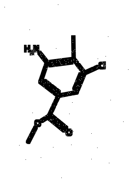 COC(=O)c1cc(N)c(C)c(Cl)c1